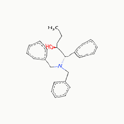 CC[C@H](O)[C@H](c1ccccc1)N(Cc1ccccc1)Cc1ccccc1